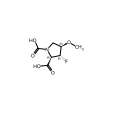 CO[C@@H]1CN(C(=O)O)[C@H](C(=O)O)[C@H]1F